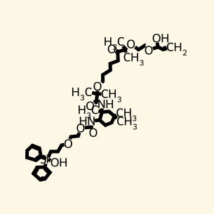 C=CC(O)OCCOC(C)(C)C(=O)CCCCCOC(C)(C)C(=O)NC1(C)CC(C)(C)CCC1NC(=O)OCCOCCC[Si](O)(C1=CCCC=C1)c1ccccc1